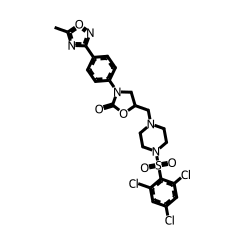 Cc1nc(-c2ccc(N3CC(CN4CCN(S(=O)(=O)c5c(Cl)cc(Cl)cc5Cl)CC4)OC3=O)cc2)no1